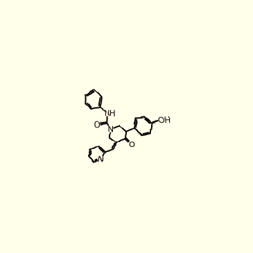 O=C1C(=Cc2ccccn2)CN(C(=O)Nc2ccccc2)CC1c1ccc(O)cc1